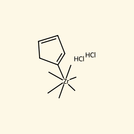 Cl.Cl.[CH3][Zr]([CH3])([CH3])([CH3])([CH3])([CH3])[C]1=CC=CC1